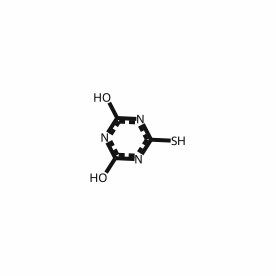 Oc1nc(O)nc(S)n1